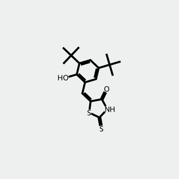 CC(C)(C)c1cc(C=C2SC(=S)NC2=O)c(O)c(C(C)(C)C)c1